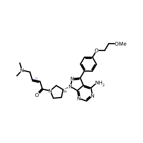 COCCOc1ccc(-c2nn([C@@H]3CCN(C(=O)/C=C/CN(C)C)C3)c3ncnc(N)c23)cc1